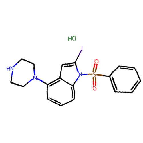 Cl.O=S(=O)(c1ccccc1)n1c(I)cc2c(N3CCNCC3)cccc21